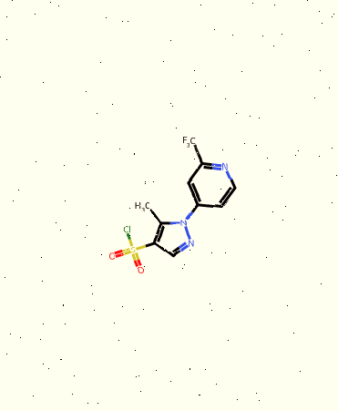 Cc1c(S(=O)(=O)Cl)cnn1-c1ccnc(C(F)(F)F)c1